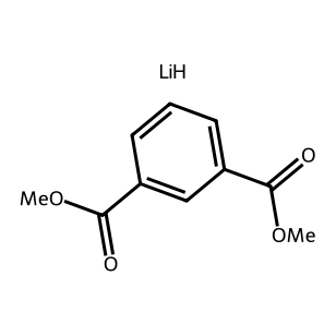 COC(=O)c1cccc(C(=O)OC)c1.[LiH]